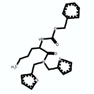 CCCCC(NC(=O)OCc1ccccc1)C(=O)N(Cc1cccs1)Cc1cccs1